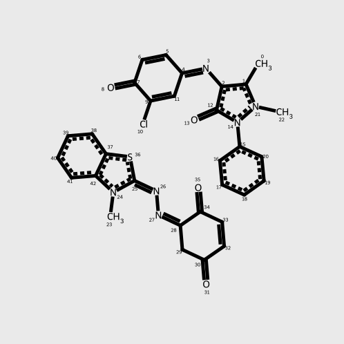 Cc1c(N=C2C=CC(=O)C(Cl)=C2)c(=O)n(-c2ccccc2)n1C.Cn1c(=NN=C2CC(=O)C=CC2=O)sc2ccccc21